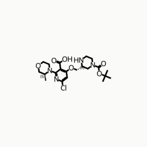 C[C@H]1COCCN1c1nc(Cl)cc(OC[C@H]2CN(C(=O)OC(C)(C)C)CCN2)c1C(=O)O